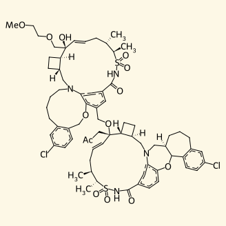 COCCOC[C@]1(O)/C=C/C[C@H](C)[C@@H](C)S(=O)(=O)NC(=O)c2cc(CO[C@@]3(CC(C)=O)/C=C/C[C@H](C)[C@@H](C)S(=O)(=O)NC(=O)c4ccc5c(c4)N(C[C@H]4CCCc6cc(Cl)ccc6C4O5)C[C@@H]4CC[C@H]43)c3c(c2)N(CCCCc2cc(Cl)ccc2CO3)C[C@@H]2CC[C@H]21